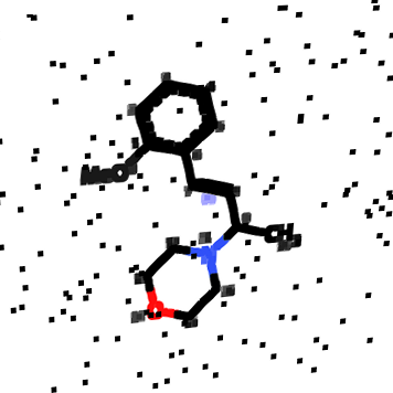 COc1ccccc1/C=C/C(C)N1CCOCC1